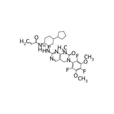 C=CC(=O)N[C@H]1CCC(C2CCCC2)C[C@H]1Nc1ncc2c(n1)N(C)C(=O)N(c1c(F)c(OC)c(F)c(OC)c1F)C2